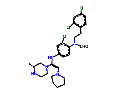 C[C@H]1CN(/C(=C\N2CCCCC2)Nc2ccc(N(C=O)CCc3ccc(Cl)cc3Cl)c(Cl)c2)CCN1